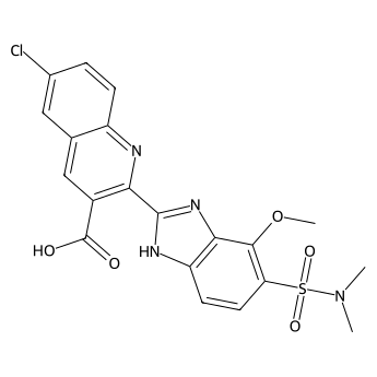 COc1c(S(=O)(=O)N(C)C)ccc2[nH]c(-c3nc4ccc(Cl)cc4cc3C(=O)O)nc12